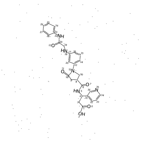 O=C(O)CC(NC(=O)C1CC(=O)N(c2cccc(NCC(=O)Nc3ccccc3)c2)C1)c1cccnc1